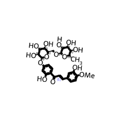 COc1ccc(/C=C/C(=O)c2ccc(O[C@@H]3O[C@H](CO[C@@H]4O[C@@H](C)[C@H](O)[C@@H](O)[C@H]4O)[C@@H](O)[C@H](O)[C@H]3O)cc2O)cc1O